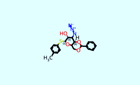 Cc1ccc(S[C@@H]2OC3COC(c4ccccc4)O[C@@H]3C(N=[N+]=[N-])[C@@H]2O)cc1